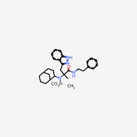 CC(Cc1n[nH]c2ccccc12)(C(=O)NCCc1ccccc1)N(C(=O)O)C1CCC2CCCC1C2.[CH2]